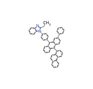 CCc1nc2ccccc2n1-c1ccc(-c2c3ccccc3c(-c3cccc4c3ccc3ccccc34)c3ccc(-c4ccccc4)cc23)cc1